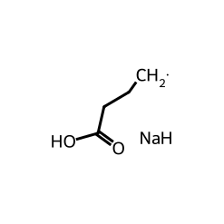 [CH2]CCC(=O)O.[NaH]